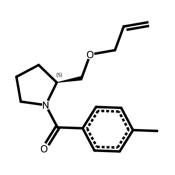 C=CCOC[C@@H]1CCCN1C(=O)c1ccc(C)cc1